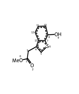 COC(=O)Cc1csc2c(O)cccc12